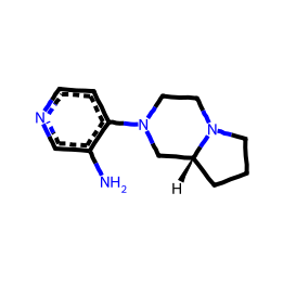 Nc1cnccc1N1CCN2CCC[C@@H]2C1